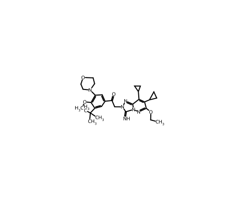 CCOc1nn2c(=N)n(CC(=O)c3cc(N4CCOCC4)c(OC)c(C(C)(C)C)c3)nc2c(C2CC2)c1C1CC1